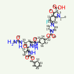 CCn1cc(C(=O)O)c(=O)c2cc(F)c(N3CCN(C(=O)OCc4ccc(NC(=O)[C@H](CCCNC(N)=O)NC(=O)[C@@H](NC(=O)OCc5ccccc5)C(C)C)cc4)CC3)cc21